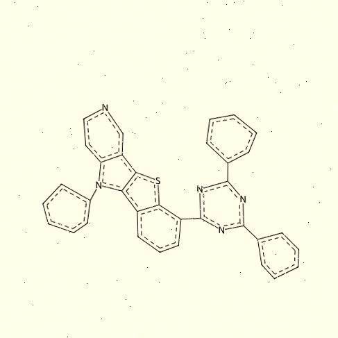 c1ccc(-c2nc(-c3ccccc3)nc(-c3cccc4c3sc3c5cnccc5n(-c5ccccc5)c43)n2)cc1